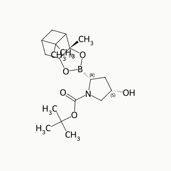 CC(C)(C)OC(=O)N1C[C@@H](O)C[C@H]1B1OC2CC3CC(C3(C)C)[C@]2(C)O1